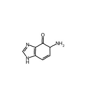 NC1C=Cc2[nH]cnc2C1=O